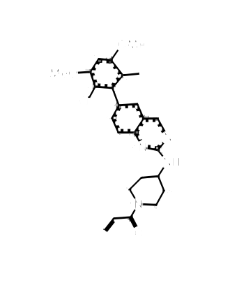 C=CC(=O)N1CCC(Nc2ncc3cc(-c4c(C)c(OC)cc(OC)c4Cl)ccc3n2)CC1